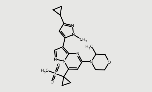 CC1COCCN1c1cc(C2(S(C)(=O)=O)CC2)n2ncc(-c3cc(C4CC4)nn3C)c2n1